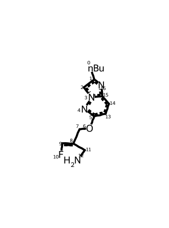 CCCCc1cn2nc(OC/C(=C/F)CN)ccc2n1